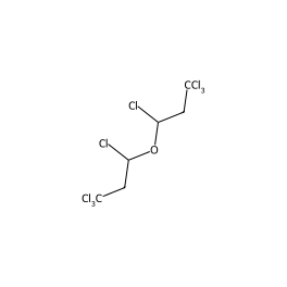 ClC(CC(Cl)(Cl)Cl)OC(Cl)CC(Cl)(Cl)Cl